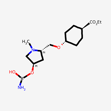 CCOC(=O)[C@H]1CC[C@H](OC[C@@H]2C[C@@H](OB(N)O)CN2C)CC1